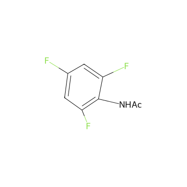 CC(=O)Nc1c(F)cc(F)cc1F